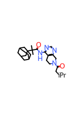 CC(C)CC(=O)N1CCc2c(ncnc2NC(=O)C(C)(C)C23CC4CC(CC(C4)C2)C3)C1